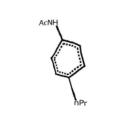 C[CH]Cc1ccc(NC(C)=O)cc1